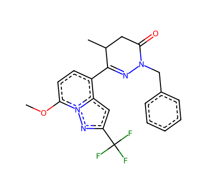 COc1ccc(C2=NN(Cc3ccccc3)C(=O)CC2C)c2cc(C(F)(F)F)nn12